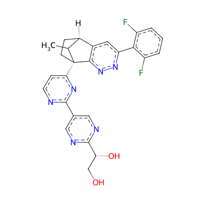 CC1[C@H]2CC[C@]1(c1ccnc(-c3cnc([C@H](O)CO)nc3)n1)c1nnc(-c3c(F)cccc3F)cc12